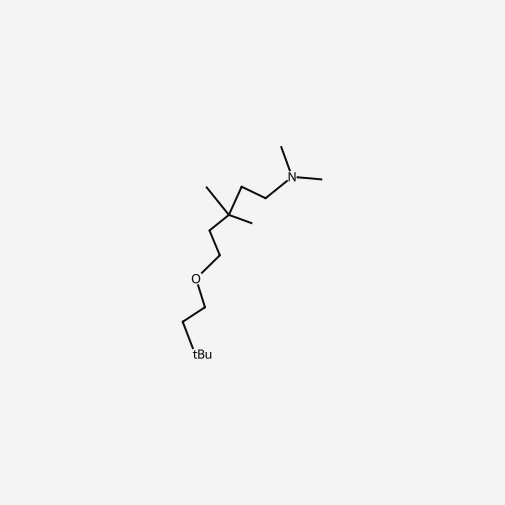 CN(C)CCC(C)(C)CCOCCC(C)(C)C